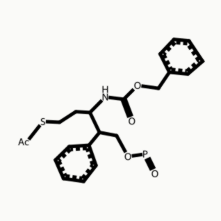 CC(=O)SCCC(NC(=O)OCc1ccccc1)C(COP=O)c1ccccc1